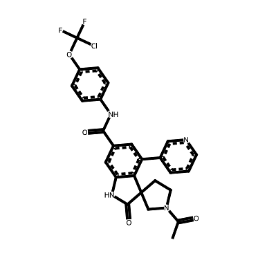 CC(=O)N1CCC2(C1)C(=O)Nc1cc(C(=O)Nc3ccc(OC(F)(F)Cl)cc3)cc(-c3cccnc3)c12